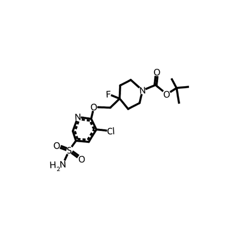 CC(C)(C)OC(=O)N1CCC(F)(COc2ncc(S(N)(=O)=O)cc2Cl)CC1